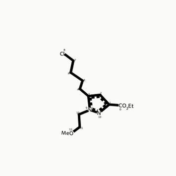 CCOC(=O)c1cc(CCCCCl)n(CCOC)n1